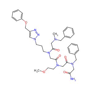 COCCN(CC(=O)N(CC(N)=O)Cc1ccccc1)C(=O)CN(CCCn1cc(COc2ccccc2)nn1)C(=O)CN(C)Cc1ccccc1